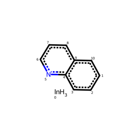 [InH3].c1ccc2ncccc2c1